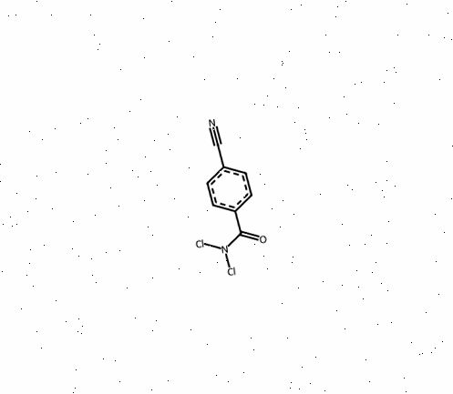 N#Cc1ccc(C(=O)N(Cl)Cl)cc1